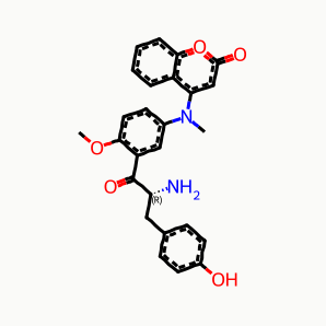 COc1ccc(N(C)c2cc(=O)oc3ccccc23)cc1C(=O)[C@H](N)Cc1ccc(O)cc1